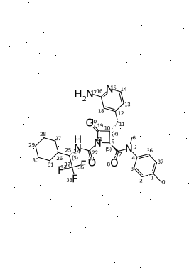 Cc1ccc(N(C)C(=O)[C@@H]2[C@@H](Cc3ccnc(N)c3)C(=O)N2C(=O)N[C@@H](C2CCCCC2)C(F)(F)F)cc1